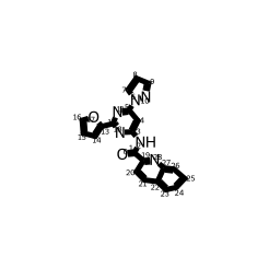 O=C(Nc1cc(-n2cccn2)nc(-c2ccco2)n1)c1ccc2ccccc2n1